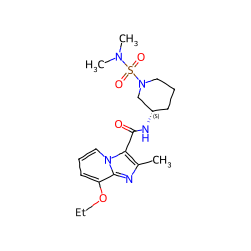 CCOc1cccn2c(C(=O)N[C@H]3CCCN(S(=O)(=O)N(C)C)C3)c(C)nc12